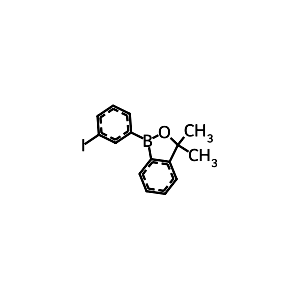 CC1(C)OB(c2cccc(I)c2)c2ccccc21